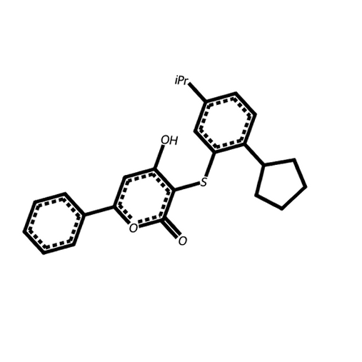 CC(C)c1ccc(C2CCCC2)c(Sc2c(O)cc(-c3ccccc3)oc2=O)c1